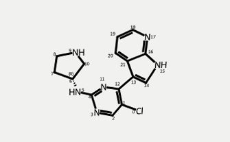 Clc1cnc(N[C@@H]2CCNC2)nc1-c1c[nH]c2ncccc12